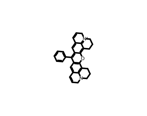 C1=Cc2cc3c(c4c2N(C1)CCC4)Oc1c2c4c(cc1=C3c1ccccc1)C=CC[N+]=4CCC2